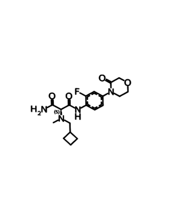 CN(CC1CCC1)[C@@H](C(N)=O)C(=O)Nc1ccc(N2CCOCC2=O)cc1F